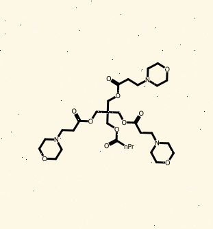 CCCC(=O)OCC(COC(=O)CCN1CCOCC1)(COC(=O)CCN1CCOCC1)COC(=O)CCN1CCOCC1